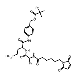 CCC(C)(C)C(=O)OCc1ccc(NC(=O)[C@H](CCC(=O)O)NC(=O)[C@@H](NC(=O)CCCCCN2C(=O)C=CC2=O)C(C)C)cc1